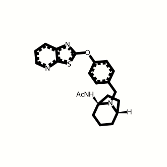 CC(=O)N[C@@]12CCC[C@@H](CC1)N2Cc1ccc(Oc2nc3cccnc3s2)cc1